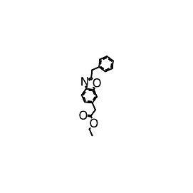 CCOC(=O)Cc1ccc2nc(Cc3ccccc3)oc2c1